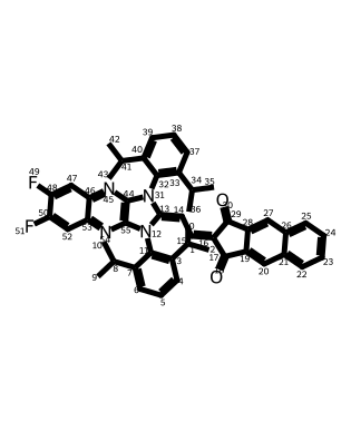 CC(C)c1cccc(C(C)C)c1N1C(=CC=C2C(=O)c3cc4ccccc4cc3C2=O)N(c2c(C(C)C)cccc2C(C)C)c2nc3cc(F)c(F)cc3nc21